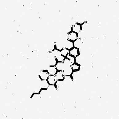 CCCCC[C@@H](C(=O)NCNC(=O)c1ccc(-c2ccc(C(=O)N[C@@H](CC(=O)O)C(=O)O)c(OCC(=O)O)c2)o1)[C@@H](CC)N(C=O)OC(=O)N(C)C(=O)OC(C)(C)C